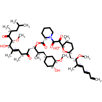 C=C/C=C/C=C(\C)[C@H](C[C@@H]1CC[C@@H](C)[C@](O)(C(=O)C(=O)N2CCCC[C@H]2C(=O)O[C@@H](CC(=O)[C@H](C)/C=C(\C)[C@@H](O)[C@@H](OC)C(=O)[C@H](C)CC(C)C)[C@H](C)C[C@@H]2CC[C@@H](O)[C@H](OC)C2)O1)OC